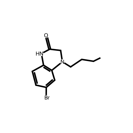 CCCCN1CC(=O)Nc2ccc(Br)cc21